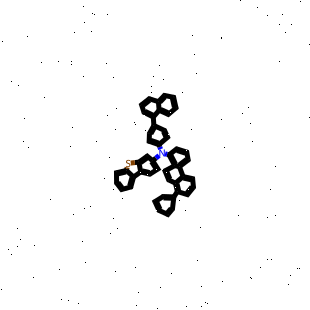 c1ccc(-c2cccc3c2ccc2c(N(c4ccc(-c5cccc6ccccc56)cc4)c4ccc5c(c4)sc4ccccc45)cccc23)cc1